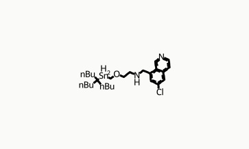 CCCC[C](CCCC)(CCCC)[SnH2][CH2]OCCNCc1cc(Cl)cc2ccncc12